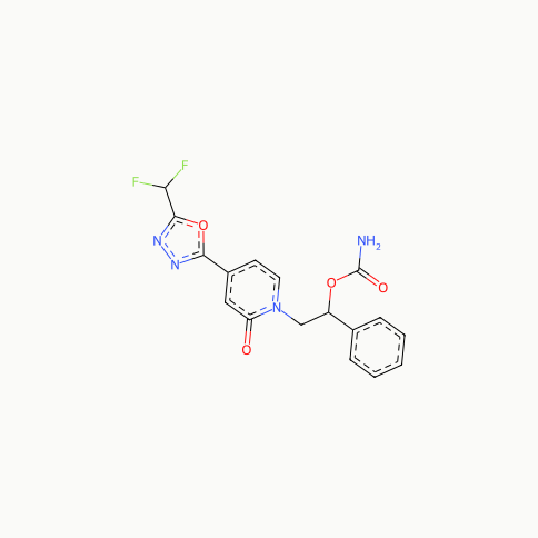 NC(=O)OC(Cn1ccc(-c2nnc(C(F)F)o2)cc1=O)c1ccccc1